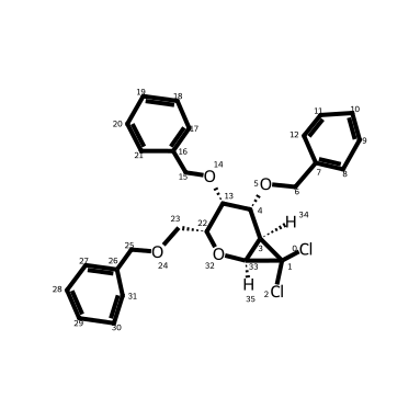 ClC1(Cl)[C@@H]2[C@@H](OCc3ccccc3)[C@@H](OCc3ccccc3)[C@@H](COCc3ccccc3)O[C@@H]21